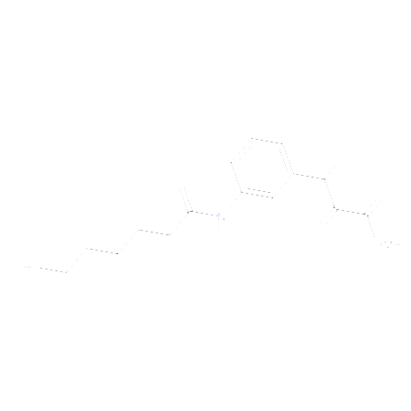 CCCCCCCCCCCCCCCC(=O)Nc1cccc(C(Cl)C(=O)C(=O)OC)c1